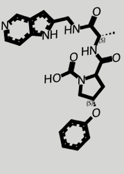 C[C@H](NC(=O)C1C[C@H](Oc2ccccc2)CN1C(=O)O)C(=O)NCc1cc2cnccc2[nH]1